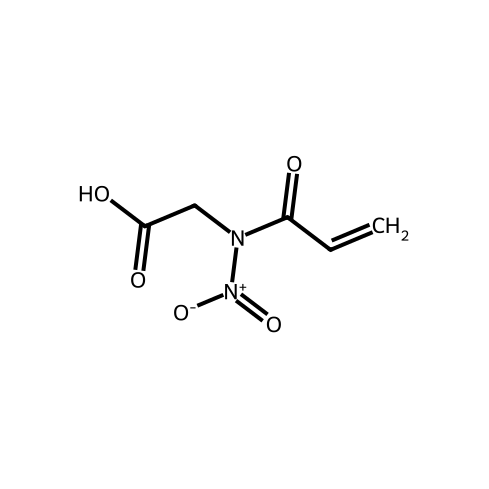 C=CC(=O)N(CC(=O)O)[N+](=O)[O-]